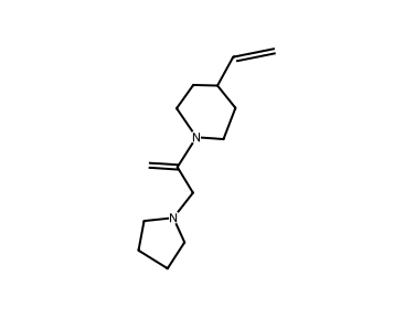 C=CC1CCN(C(=C)CN2CCCC2)CC1